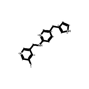 Fc1cncc(CNc2ccc(Cc3cc[nH]c3)cn2)c1